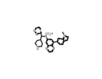 Cn1ccc2ccc(-c3cc(N(C(=O)O)C(c4cccnn4)C4CCNCC4)cc4nccnc34)cc21